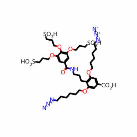 [N-]=[N+]=NCCCCCCOc1cc(C(=O)O)cc(OCCCCCCN=[N+]=[N-])c1CCCNC(=O)c1cc(OCCCS(=O)(=O)O)c(OCCCS(=O)(=O)O)c(OCCCS(=O)(=O)O)c1